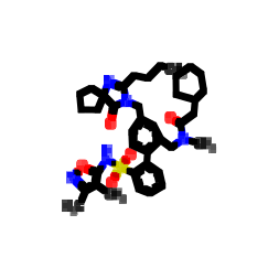 CCCCC1=NC2(CCCC2)C(=O)N1Cc1ccc(-c2ccccc2S(=O)(=O)Nc2onc(C)c2C)c(CN(C)C(=O)CC2CCCCC2)c1